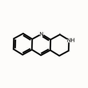 [CH]1NCCc2cc3ccccc3nc21